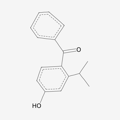 CC(C)c1cc(O)ccc1C(=O)c1ccccc1